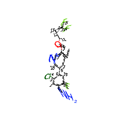 Nc1cc(Cl)c(-c2ccc(OC[C@H]3CC3(F)F)nc2)cc1F